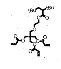 C=CC(=O)OCC(COCCOC(=O)C(CC(C)(C)C)C(C)(C)C)(COC(=O)C=C)COC(=O)C=C